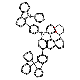 c1ccc(-n2c3ccccc3c3cccc(-c4ccc(N(c5ccc(-c6ccc7c(c6)C(c6ccccc6)(c6ccccc6)c6ccccc6-7)cc5)c5ccccc5-c5cccc6cccc(C7CCCCC7)c56)cc4)c32)cc1